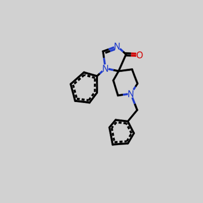 O=C1N=CN(c2ccccc2)C12CCN(Cc1ccccc1)CC2